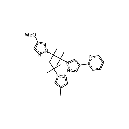 COc1cnn(C(C)(CC(C)(C)n2cc(C)cn2)C(C)(C)n2cc(-c3ccccn3)cn2)c1